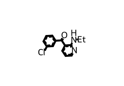 CCNc1ncccc1C(=O)c1cccc(Cl)c1